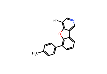 Cc1ccc(-c2cccc3c2oc2c(C(C)C)cncc23)cc1